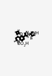 C[C@H]1CCc2c(ccc(-c3cnn([C@H]4CNC[C@H]4F)c3)c2OC2CCC2)N1C(=O)O